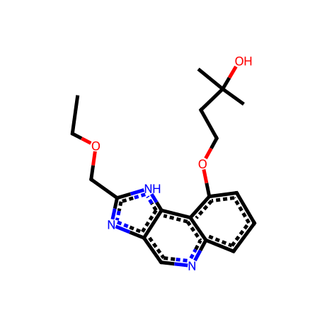 CCOCc1nc2cnc3cccc(OCCC(C)(C)O)c3c2[nH]1